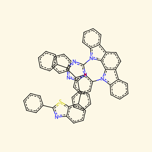 c1ccc(-c2cc(-c3cccc4nc(-c5ccccc5)sc34)cc(-n3c4ccccc4c4ccc5c6ccccc6n(-c6nc(-c7ccccc7)nc(-c7ccccc7)n6)c5c43)c2)cc1